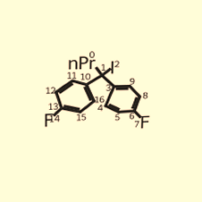 CCCC(I)(c1ccc(F)cc1)c1ccc(F)cc1